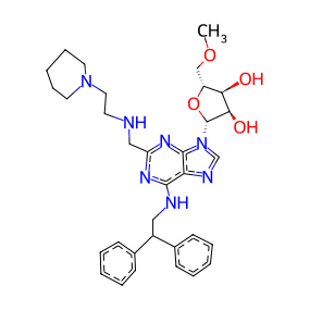 COC[C@H]1O[C@@H](n2cnc3c(NCC(c4ccccc4)c4ccccc4)nc(CNCCN4CCCCC4)nc32)[C@H](O)[C@@H]1O